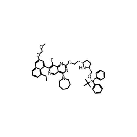 CCc1cccc2cc(OCOC)cc(-c3ncc4c(N5CCCCCC5)nc(OCC[C@@H]5CC[C@@H](CO[Si](c6ccccc6)(c6ccccc6)C(C)(C)C)N5)nc4c3F)c12